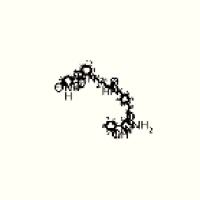 Nc1nnc(-c2ccccc2O)cc1OCCc1ccc(CNC(=O)CCCCNc2cccc3c2C(=O)N(C2CCC(=O)NC2=O)C3)cc1